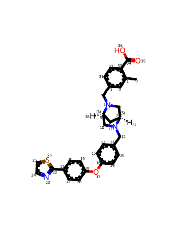 Cc1cc(CN2C[C@@H]3C[C@H]2CN3Cc2ccc(Oc3ccc(-c4nccs4)cc3)cc2)ccc1C(=O)O